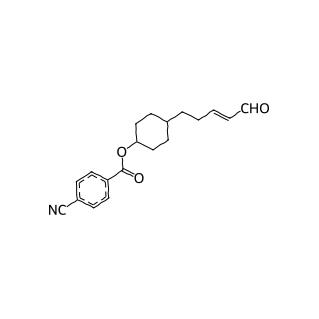 N#Cc1ccc(C(=O)OC2CCC(CCC=CC=O)CC2)cc1